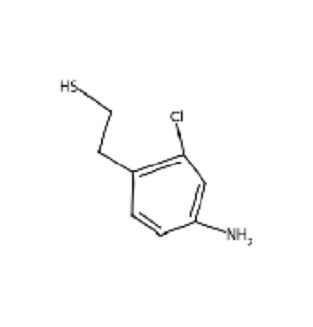 Nc1ccc(CCS)c(Cl)c1